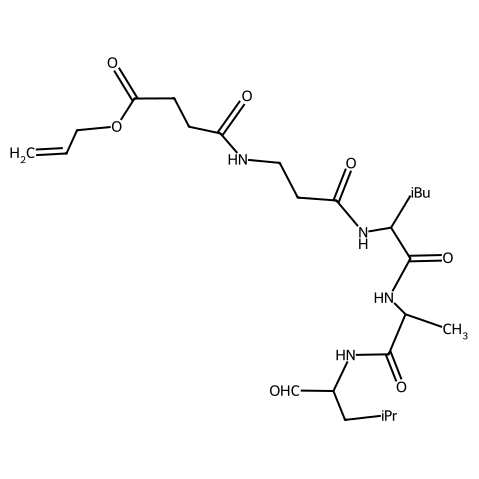 C=CCOC(=O)CCC(=O)NCCC(=O)NC(C(=O)NC(C)C(=O)NC(C=O)CC(C)C)C(C)CC